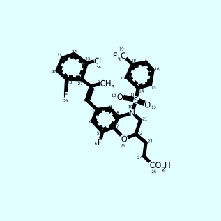 CC(=Cc1cc(F)c2c(c1)N(S(=O)(=O)c1cccc(C(F)(F)F)c1)CC(CCC(=O)O)O2)c1c(F)cccc1Cl